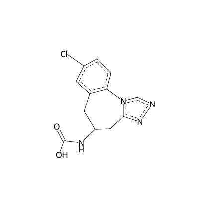 O=C(O)NC1Cc2cc(Cl)ccc2-n2cnnc2C1